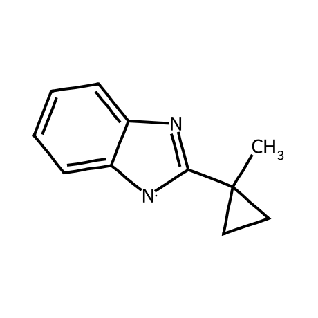 CC1(C2=Nc3ccccc3[N]2)CC1